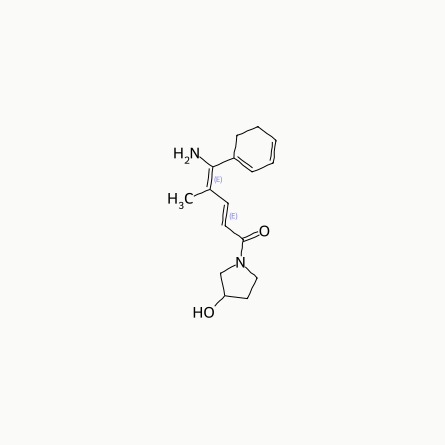 CC(/C=C/C(=O)N1CCC(O)C1)=C(\N)C1=CC=CCC1